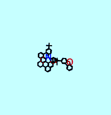 CC(C)(C)c1ccc(N(C2=C[C@@H]3C(=C3c3ccc4oc5ccccc5c4c3)C=C2)c2ccccc2-c2cccc3cccc(C4CCCCC4)c23)c(-c2ccccc2)c1